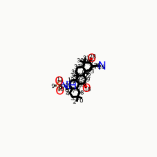 CC1(C)CC[C@]2(CNS(C)(=O)=O)CC[C@]3(C)C(C(=O)CC4[C@@]5(C)C=C(C#N)C(=O)C(C)(C)C5CC[C@]43C)C2C1